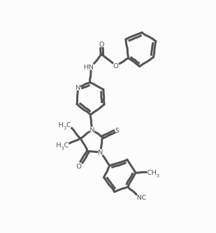 [C-]#[N+]c1ccc(N2C(=O)C(C)(C)N(c3ccc(NC(=O)Oc4ccccc4)nc3)C2=S)cc1C